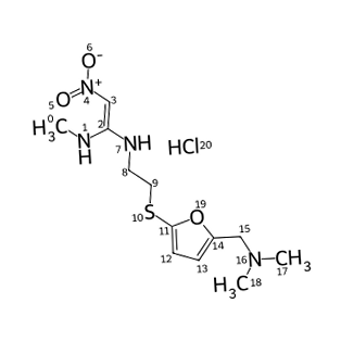 CN/C(=C\[N+](=O)[O-])NCCSc1ccc(CN(C)C)o1.Cl